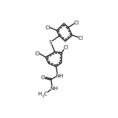 CNC(=O)Nc1cc(Cl)c(Sc2cc(Cl)c(Cl)cc2Cl)c(Cl)c1